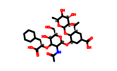 CC[C@@H]1CC(C(=O)O)C[C@@H](O[C@@H]2O[C@@H](CO)[C@H](O)C(O[C@@H](CC3CCCCC3)C(=O)O)C2NC(C)=O)C1OC1O[C@@H](C)C(O)[C@H](O)[C@@H]1O